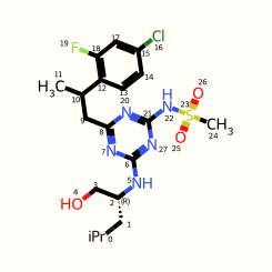 CC(C)C[C@H](CO)Nc1nc(CC(C)c2ccc(Cl)cc2F)nc(NS(C)(=O)=O)n1